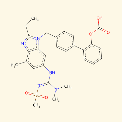 CCc1nc2c(C)cc(NC(=NS(C)(=O)=O)N(C)C)cc2n1Cc1ccc(-c2ccccc2OC(=O)O)cc1